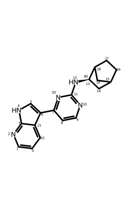 c1cnc2[nH]cc(-c3ccnc(N[C@@H]4CC5CCC4C5)n3)c2c1